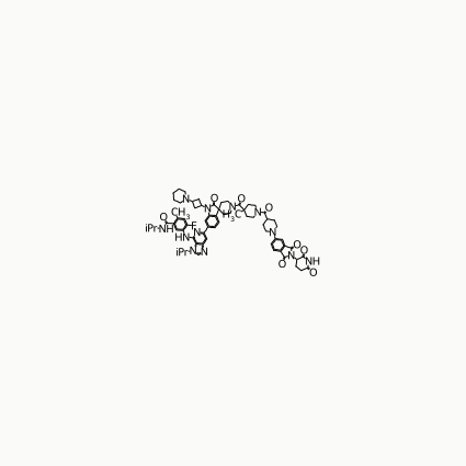 Cc1cc(F)c(Nc2nc(-c3ccc4c(c3)N(C3CC(N5CCCCC5)C3)C(=O)C43CCN(C(=O)C4(C)CCN(C(=O)C5CCN(c6ccc7c(c6)C(=O)N(C6CCC(=O)NC6=O)C7=O)CC5)CC4)CC3)cc3ncn(C(C)C)c23)cc1C(=O)NC(C)C